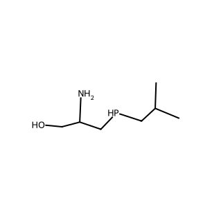 CC(C)CPCC(N)CO